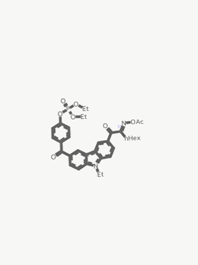 CCCCCC/C(=N\OC(C)=O)C(=O)c1ccc2c(c1)c1cc(C(=O)c3ccc(OP(=O)(OCC)OCC)cc3)ccc1n2CC